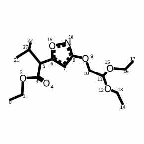 CCOC(=O)C(c1cc(OCC(OCC)OCC)no1)C(C)C